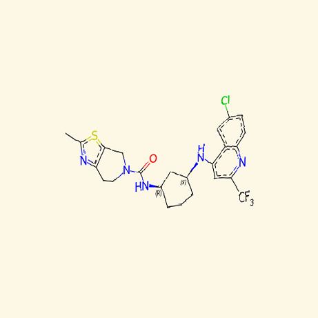 Cc1nc2c(s1)CN(C(=O)N[C@@H]1CCC[C@H](Nc3cc(C(F)(F)F)nc4ccc(Cl)cc34)C1)CC2